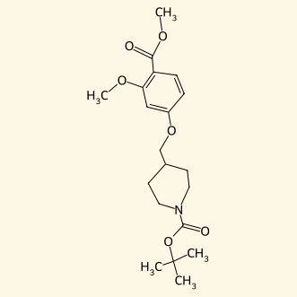 COC(=O)c1ccc(OCC2CCN(C(=O)OC(C)(C)C)CC2)cc1OC